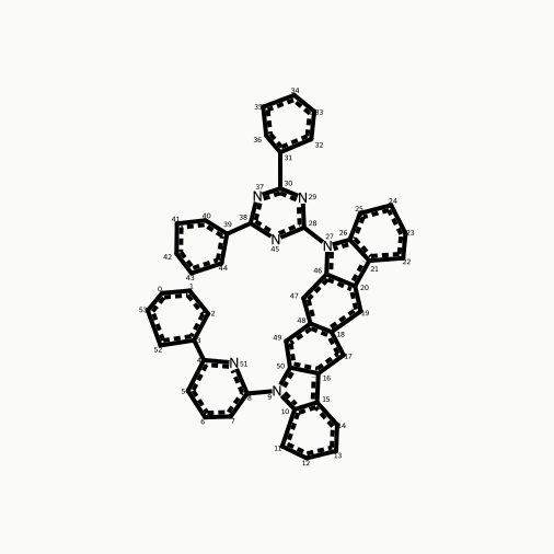 c1ccc(-c2cccc(-n3c4ccccc4c4cc5cc6c7ccccc7n(-c7nc(-c8ccccc8)nc(-c8ccccc8)n7)c6cc5cc43)n2)cc1